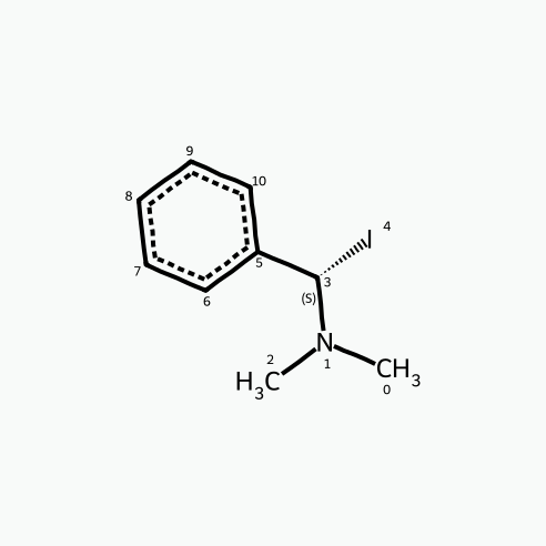 CN(C)[C@@H](I)c1ccccc1